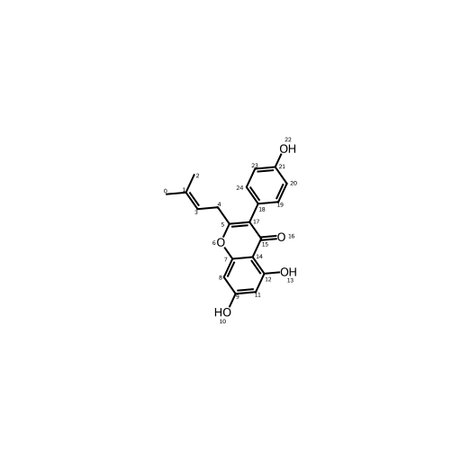 CC(C)=CCc1oc2cc(O)cc(O)c2c(=O)c1-c1ccc(O)cc1